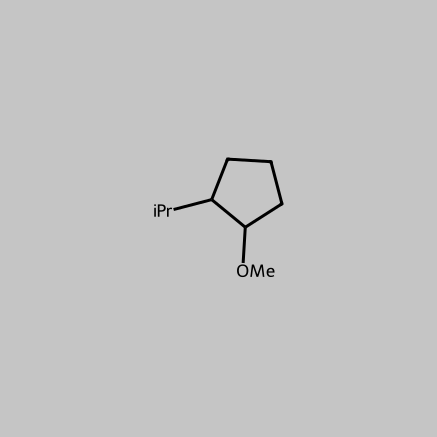 COC1CCCC1C(C)C